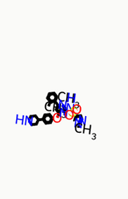 Cc1cccc(C)c1-c1cc(Oc2ccc(C3CCNCC3)cc2)nc(NS(=O)(=O)c2cnn(C)c2)n1